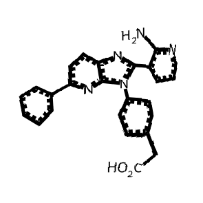 Nc1ncccc1-c1nc2ccc(-c3ccccc3)nc2n1-c1ccc(CC(=O)O)cc1